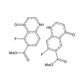 COC(=O)c1cc2c(=O)cc[nH]c2cc1F.COC(=O)c1ccc2[nH]ccc(=O)c2c1F